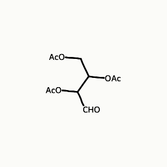 CC(=O)OCC(OC(C)=O)C(C=O)OC(C)=O